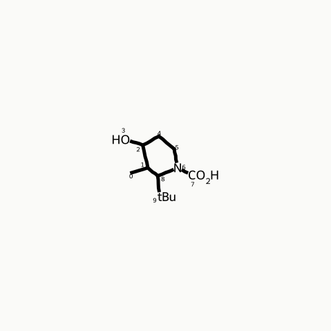 CC1C(O)CCN(C(=O)O)C1C(C)(C)C